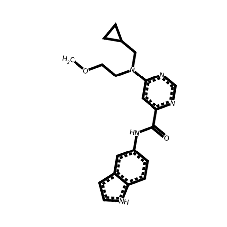 COCCN(CC1CC1)c1cc(C(=O)Nc2ccc3[nH]ccc3c2)ncn1